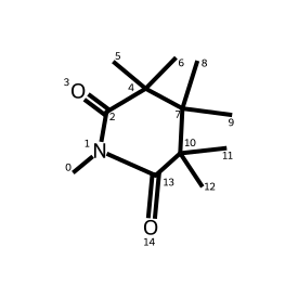 CN1C(=O)C(C)(C)C(C)(C)C(C)(C)C1=O